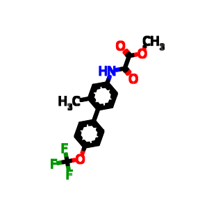 COC(=O)C(=O)Nc1ccc(-c2ccc(OC(F)(F)F)cc2)c(C)c1